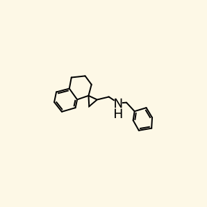 c1ccc(CNCC2CC23CCCc2ccccc23)cc1